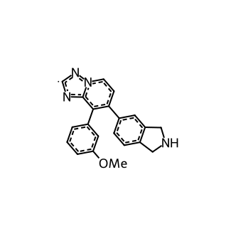 COc1cccc(-c2c(-c3ccc4c(c3)CNC4)ccn3n[c]nc23)c1